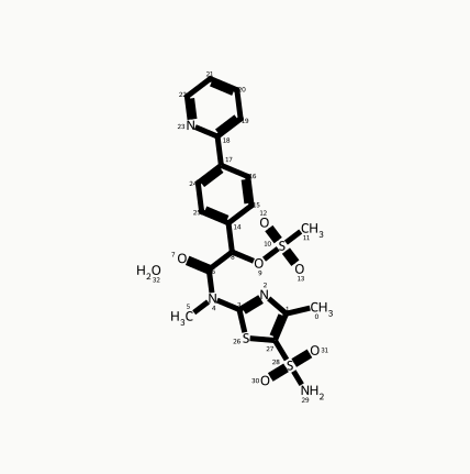 Cc1nc(N(C)C(=O)C(OS(C)(=O)=O)c2ccc(-c3ccccn3)cc2)sc1S(N)(=O)=O.O